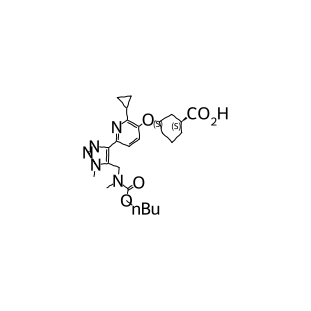 CCCCOC(=O)N(C)Cc1c(-c2ccc(O[C@H]3CCC[C@H](C(=O)O)C3)c(C3CC3)n2)nnn1C